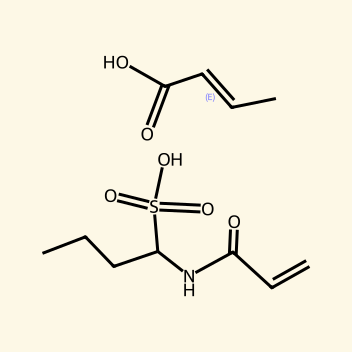 C/C=C/C(=O)O.C=CC(=O)NC(CCC)S(=O)(=O)O